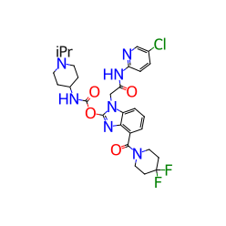 CC(C)N1CCC(NC(=O)Oc2nc3c(C(=O)N4CCC(F)(F)CC4)cccc3n2CC(=O)Nc2ccc(Cl)cn2)CC1